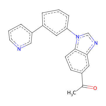 CC(=O)c1ccc2c(c1)ncn2-c1cccc(-c2cccnc2)c1